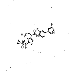 CCC(C(=O)Nc1ccc(-c2cncc(F)c2)cc1F)c1csc(NS(=O)(=O)C2CC2)n1